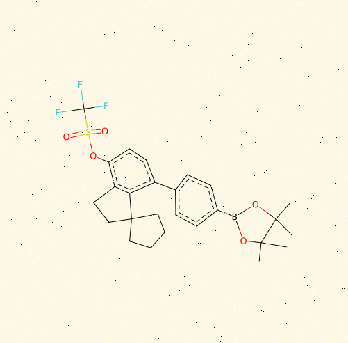 CC1(C)OB(c2ccc(-c3ccc(OS(=O)(=O)C(F)(F)F)c4c3C3(CCCC3)CC4)cc2)OC1(C)C